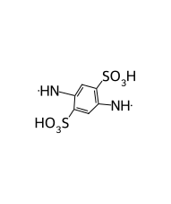 [NH]c1cc(S(=O)(=O)O)c([NH])cc1S(=O)(=O)O